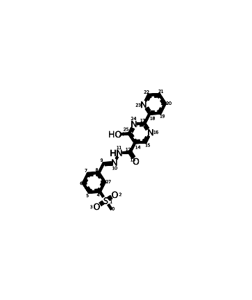 CS(=O)(=O)c1cccc(C=NNC(=O)c2cnc(-c3ccccn3)nc2O)c1